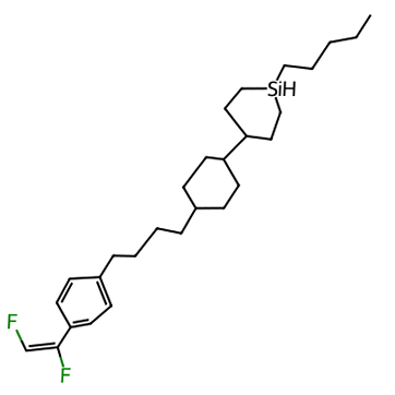 CCCCC[SiH]1CCC(C2CCC(CCCCc3ccc(/C(F)=C\F)cc3)CC2)CC1